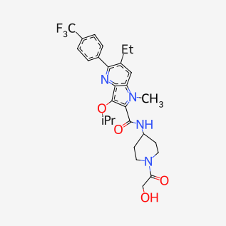 CCc1cc2c(nc1-c1ccc(C(F)(F)F)cc1)c(OC(C)C)c(C(=O)NC1CCN(C(=O)CO)CC1)n2C